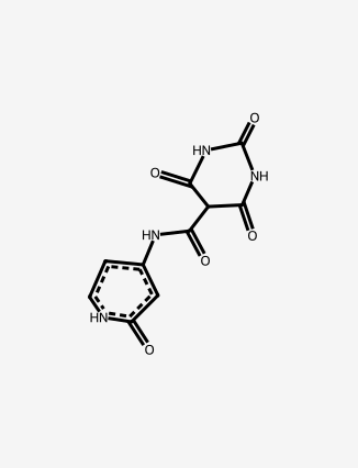 O=C1NC(=O)C(C(=O)Nc2cc[nH]c(=O)c2)C(=O)N1